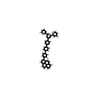 c1ccc(-c2cc(-c3ccc(-c4ccc(-c5ccc(-c6ccc7ccc8cccc9ccc6c7c89)cc5)cc4)cc3)cc(-c3ccccn3)n2)nc1